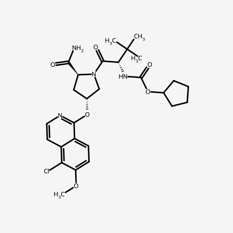 COc1ccc2c(O[C@@H]3C[C@@H](C(N)=O)N(C(=O)[C@@H](NC(=O)OC4CCCC4)C(C)(C)C)C3)nccc2c1Cl